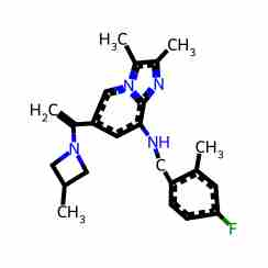 C=C(c1cc(NCc2ccc(F)cc2C)c2nc(C)c(C)n2c1)N1CC(C)C1